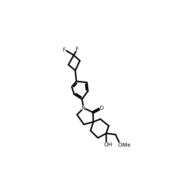 COCC1(O)CCC2(CCN(c3ccc(C4CC(F)(F)C4)cc3)C2=O)CC1